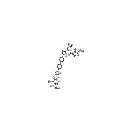 COC(=O)N[C@H](C(=O)N1CCC[C@H]1c1ncc(-c2ccc(-c3ccc(-c4cnc([C@H]5CC(F)(F)C[C@H]5C(=O)N(NC(=O)OC)C(C)C)[nH]4)cc3)cc2)[nH]1)C(C)C